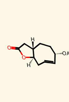 CC(=O)O[C@@H]1/C=C/C[C@H]2OC(=O)C[C@@H]2CC1